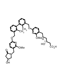 COc1nc(OCc2cccc(-c3cccc(COc4ccc(CN5C[C@@H](O)CC5=O)c(OC)n4)c3C)c2C)ccc1CNC[C@@H](O)CC(=O)O